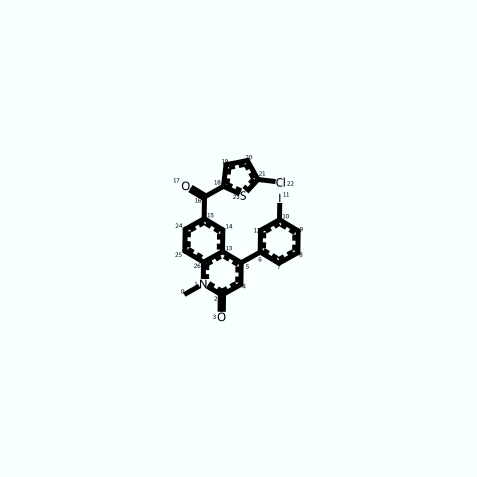 Cn1c(=O)cc(-c2cccc(I)c2)c2cc(C(=O)c3ccc(Cl)s3)ccc21